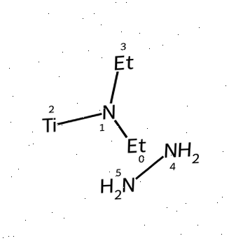 CC[N]([Ti])CC.NN